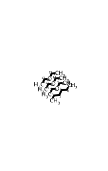 CCCCCC.CCOCC.CCOCC.CCOCC